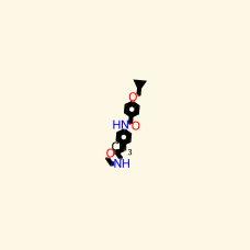 C[C@@]1(Cc2ccc(NC(=O)c3ccc(OCC4CC4)cc3)cc2)CNCCO1